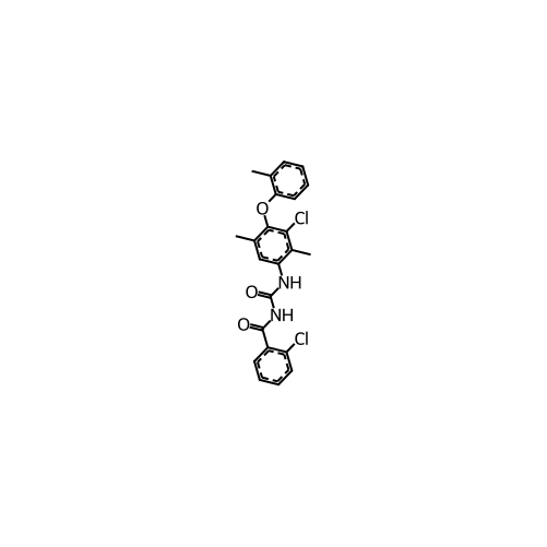 Cc1ccccc1Oc1c(C)cc(NC(=O)NC(=O)c2ccccc2Cl)c(C)c1Cl